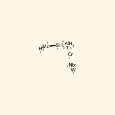 [AlH3].[Cr].[Hf].[Nb].[SiH3][Mo].[Ti].[W]